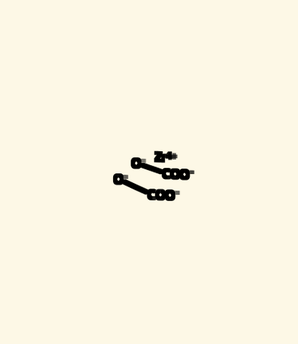 O=C([O-])[O-].O=C([O-])[O-].[Zr+4]